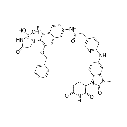 Cn1c(=O)n(C2CCC(=O)NC2=O)c2ccc(Nc3ccc(CC(=O)Nc4ccc5c(F)c(N6CC(=O)NS6(O)O)c(OCc6ccccc6)cc5c4)cn3)cc21